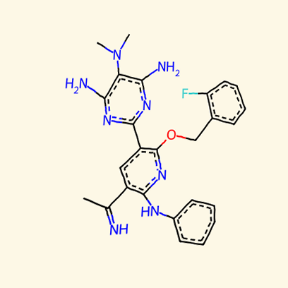 CC(=N)c1cc(-c2nc(N)c(N(C)C)c(N)n2)c(OCc2ccccc2F)nc1Nc1ccccc1